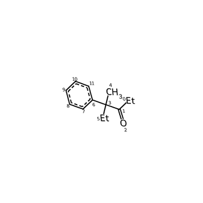 CCC(=O)C(C)(CC)c1ccccc1